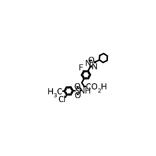 Cc1ccc(S(=O)(=O)NC(Cc2ccc(-c3noc(C4CCCCC4)n3)c(F)c2)C(=O)O)cc1Cl